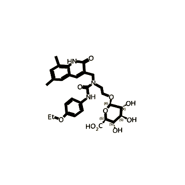 CCOc1ccc(NC(=O)N(CCO[C@@H]2O[C@H](C(=O)O)[C@@H](O)[C@H](O)[C@H]2O)Cc2cc3cc(C)cc(C)c3[nH]c2=O)cc1